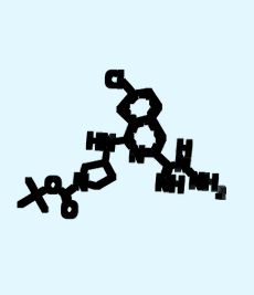 CC(C)(C)OC(=O)N1CCC(Nc2nc(C(=N)NN)cc3ccc(Cl)cc23)C1